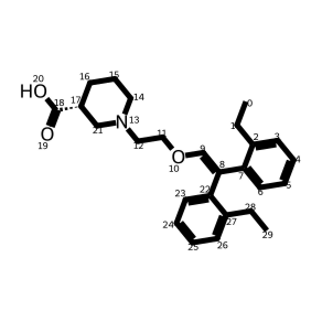 CCc1ccccc1C(=COCCN1CCC[C@@H](C(=O)O)C1)c1ccccc1CC